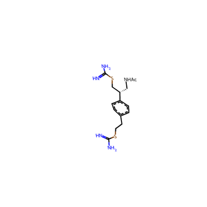 CC(=O)NC[C@@H](CSC(=N)N)c1ccc(CCSC(=N)N)cc1